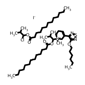 CCCCCCCCCCCCC(=O)OC(C(C)C)[N+]1(C)CCC=C(c2nsnc2OCCCCCC)C1.CCCCCCCCCCCCC(=O)OC(Cl)C(C)C.[I-]